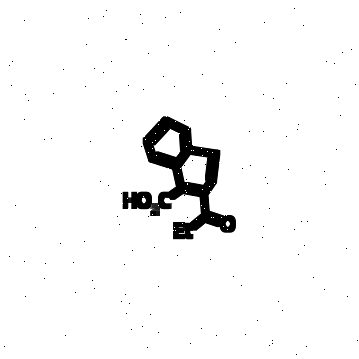 CCC(=O)c1ccc2ccccc2c1C(=O)O